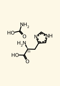 NC(=O)O.N[C@@H](Cc1c[nH]cn1)C(=O)O